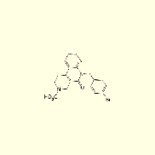 O=C(O)N1CCc2c(c(=O)n(Cc3ccc(Br)cc3)c3ncccc23)C1